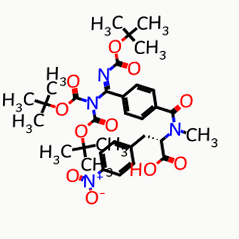 CN(C(=O)c1ccc(C(=NC(=O)OC(C)(C)C)N(C(=O)OC(C)(C)C)C(=O)OC(C)(C)C)cc1)[C@@H](Cc1ccc([N+](=O)[O-])cc1)C(=O)O